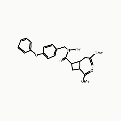 CCCN(Cc1ccc(Oc2ccccc2)cc1)C(=O)C1CC(C(=O)OC)C1CC(=O)OC